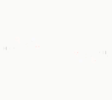 C=CC(=O)S/C=C\Oc1ccc(-c2ccc(O/C=C\SC(=O)C=C)cc2)cc1